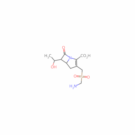 CC(O)C1C(=O)N2C(C(=O)O)=C(CS(=O)(=O)CN)CC12